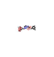 CO[Si](CCCN1C=[N+](CC(=O)OCc2ccccc2)CC1)(OC)OC